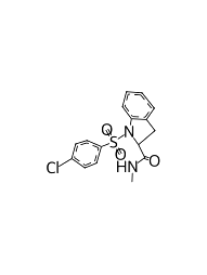 CNC(=O)C1Cc2ccccc2N1S(=O)(=O)c1ccc(Cl)cc1